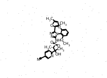 COc1cccc(OC)c1-n1c(NS(=O)(=O)[C@@H](C)C(C)(O)c2ccc(C#N)cn2)nnc1-c1ccc(C)o1